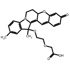 Cc1ccc2c(c1)C(C)(OCCOCC(=O)O)C1=C3C=C4C=CC(=O)C=C4OC3CCN12